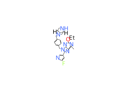 CCOc1nc(C)c2nc(-c3cncc(F)c3)n(Cc3ccc(CN4C[C@@H]5C[C@H]4CN5)cc3)c2n1